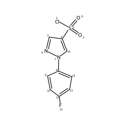 O=S(=O)(Cl)c1cnn(-c2ccc(F)cc2)c1